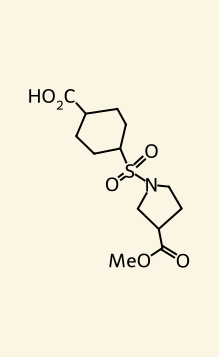 COC(=O)C1CCN(S(=O)(=O)C2CCC(C(=O)O)CC2)C1